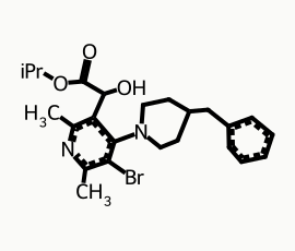 Cc1nc(C)c(C(O)C(=O)OC(C)C)c(N2CCC(Cc3ccccc3)CC2)c1Br